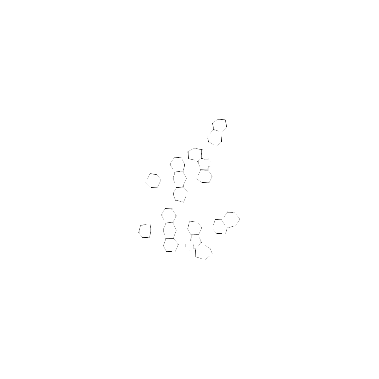 c1ccc(-c2c3ccccc3c(-c3ccc(-c4ccc5ccccc5c4)c4c3oc3ccccc34)c3cc(-c4ccc5c(-c6cccc7sc8c(-c9ccc%10ccccc%10c9)cccc8c67)c6ccccc6c(-c6ccccc6)c5c4)ccc23)cc1